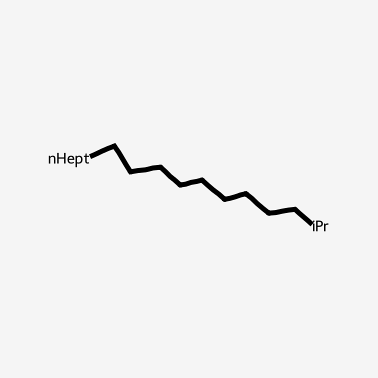 C[CH]CCCCCCCCCCCCCCC(C)C